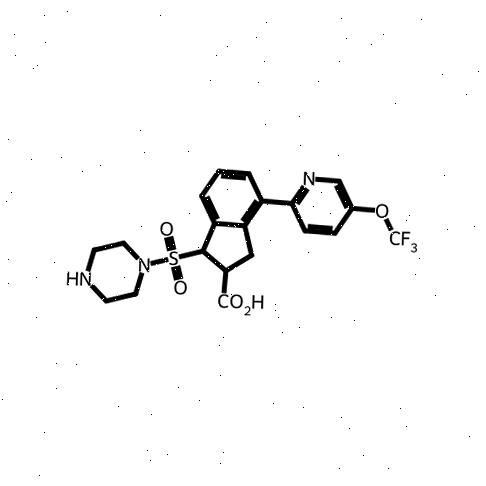 O=C(O)C1Cc2c(-c3ccc(OC(F)(F)F)cn3)cccc2C1S(=O)(=O)N1CCNCC1